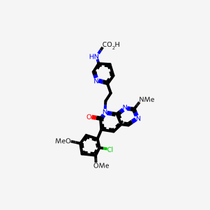 CNc1ncc2cc(-c3cc(OC)cc(OC)c3Cl)c(=O)n(CCc3ccc(NC(=O)O)cn3)c2n1